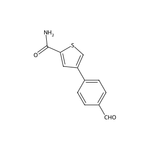 NC(=O)c1cc(-c2ccc(C=O)cc2)cs1